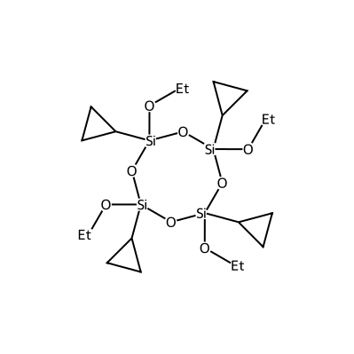 CCO[Si]1(C2CC2)O[Si](OCC)(C2CC2)O[Si](OCC)(C2CC2)O[Si](OCC)(C2CC2)O1